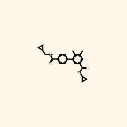 Cc1cc(C(=O)NC2CC2)cc(-c2ccc(C(=O)NCC3CC3)cc2)c1C